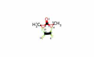 COC(=O)OC.FC(F)=C(F)F